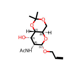 C=CCO[C@H]1O[C@@H]2COC(C)(C)O[C@H]2[C@@H](O)[C@H]1NC(C)=O